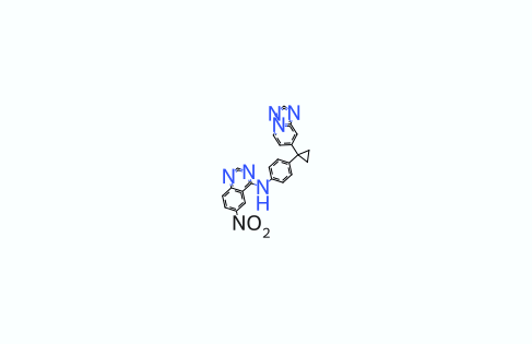 O=[N+]([O-])c1ccc2ncnc(Nc3ccc(C4(c5ccn6ncnc6c5)CC4)cc3)c2c1